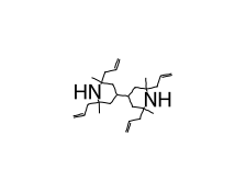 C=CCC1(C)CC(C2CC(C)(CC=C)NC(C)(CC=C)C2)CC(C)(CC=C)N1